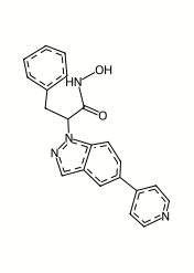 O=C(NO)C(Cc1ccccc1)n1ncc2cc(-c3ccncc3)ccc21